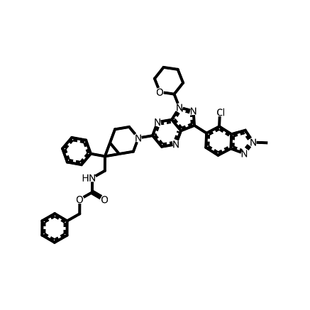 Cn1cc2c(Cl)c(-c3nn(C4CCCCO4)c4nc(N5CCC6C(C5)C6(CNC(=O)OCc5ccccc5)c5ccccc5)cnc34)ccc2n1